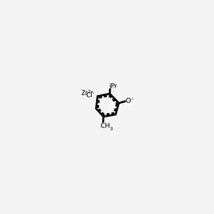 Cc1ccc(C(C)C)c([O-])c1.[Cl-].[Zr+2]